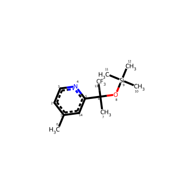 Cc1ccnc(C(C)(O[Si](C)(C)C)C(F)(F)F)c1